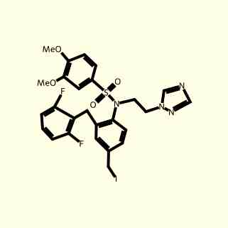 COc1ccc(S(=O)(=O)N(CCn2cncn2)c2ccc(CI)cc2Cc2c(F)cccc2F)cc1OC